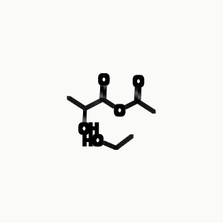 CC(=O)OC(=O)C(C)O.CCO